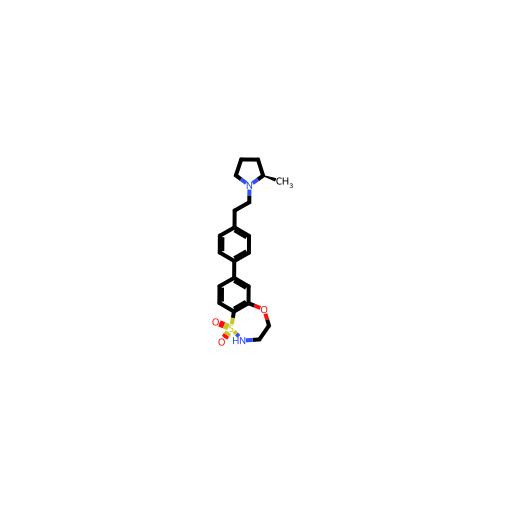 C[C@@H]1CCCN1CCc1ccc(-c2ccc3c(c2)OCCNS3(=O)=O)cc1